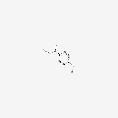 CCC(C)c1ncc(SF)cn1